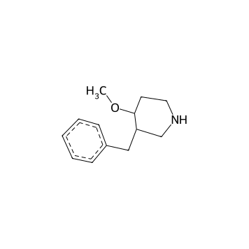 COC1CCNCC1Cc1ccccc1